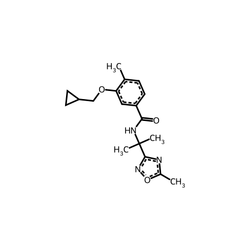 Cc1nc(C(C)(C)NC(=O)c2ccc(C)c(OCC3CC3)c2)no1